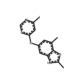 Cc1nc2c(C)cc(Oc3cc(I)ncn3)cc2[nH]1